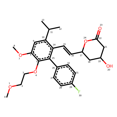 COCCOc1c(OC)cc(C(C)C)c(/C=C/C2CC(O)CC(=O)O2)c1-c1ccc(F)cc1